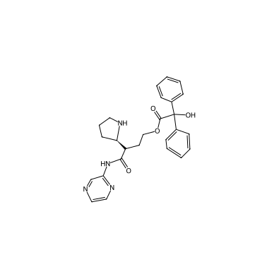 O=C(Nc1cnccn1)C(CCOC(=O)C(O)(c1ccccc1)c1ccccc1)[C@H]1CCCN1